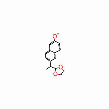 COc1ccc2cc(C(C)C3OCCO3)ccc2c1